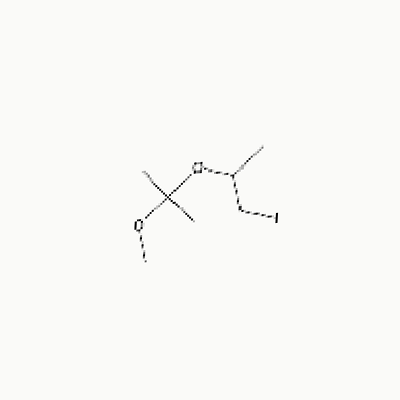 COC(C)(C)OC(C)CI